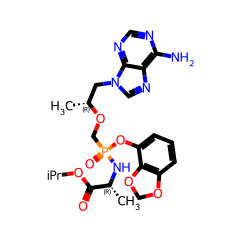 CC(C)OC(=O)[C@@H](C)NP(=O)(CO[C@H](C)Cn1cnc2c(N)ncnc21)Oc1cccc2c1OCO2